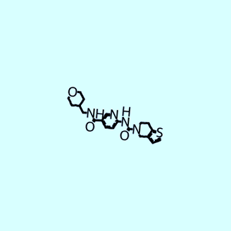 O=C(NCC1CCOCC1)c1ccc(NC(=O)N2CCc3sccc3C2)nc1